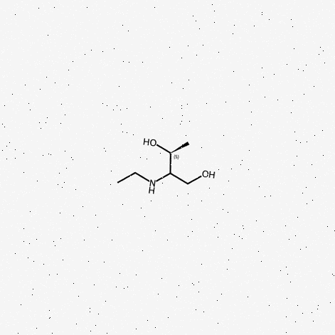 CCNC(CO)[C@H](C)O